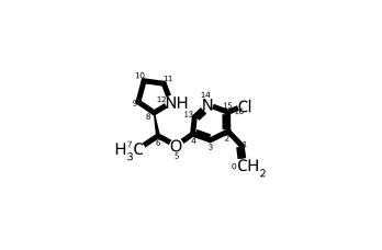 C=Cc1cc(OC(C)[C@H]2CCCN2)cnc1Cl